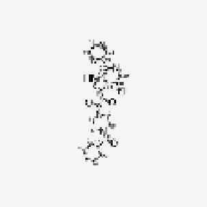 O=C(C(=O)N1CCN(C(=O)c2ccccc2)CC1)c1c[nH]c2c(-c3cnccn3)ncc(Cl)c12